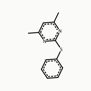 Cc1cc(C)nc(Sc2[c]cccc2)n1